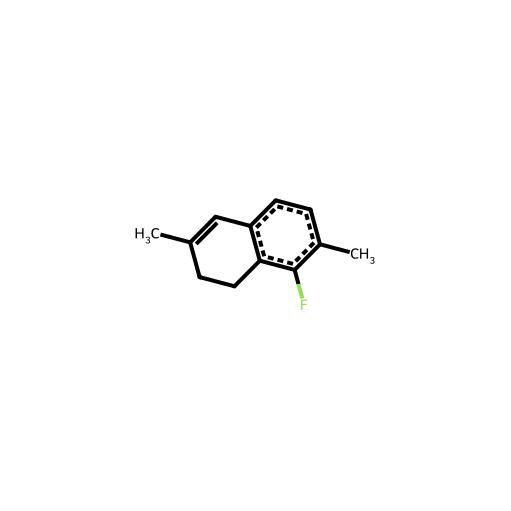 CC1=Cc2ccc(C)c(F)c2CC1